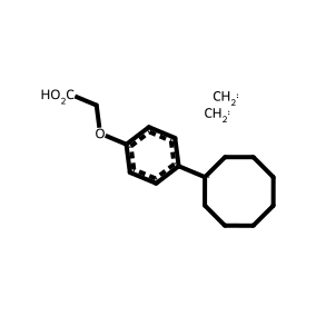 O=C(O)COc1ccc([C]2CCCCCCC2)cc1.[CH2].[CH2]